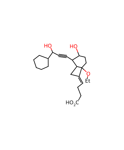 CCOC12CCC(O)C(C#CC(O)C3CCCCC3)C1CC2=CCCC(=O)O